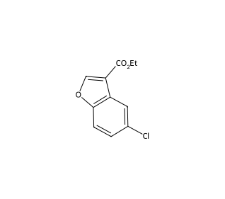 CCOC(=O)c1coc2ccc(Cl)cc12